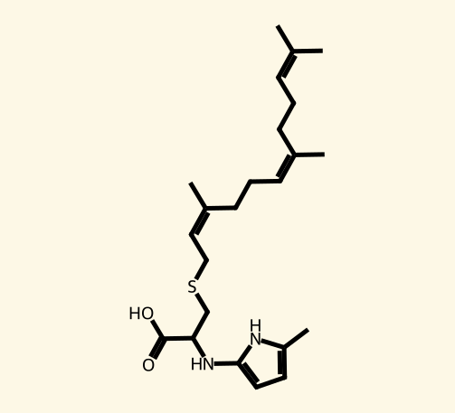 CC(C)=CCCC(C)=CCCC(C)=CCSCC(Nc1ccc(C)[nH]1)C(=O)O